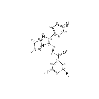 Cc1cn2c(C=CC(=O)c3cc(F)cc(F)c3)c(-c3ccc(Cl)cc3)nc2s1